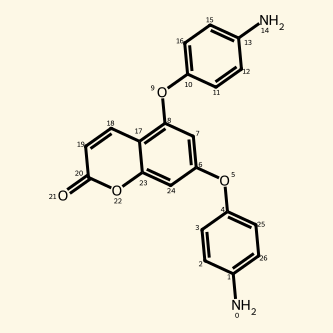 Nc1ccc(Oc2cc(Oc3ccc(N)cc3)c3ccc(=O)oc3c2)cc1